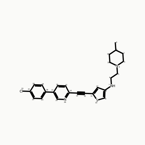 CC1CCN(CCNc2csc(C#Cc3ccc(-c4ccc(Cl)cc4)cn3)c2)CC1